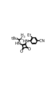 CCc1cc(C#N)ccc1Nc1c(NC(C)C(C)(C)C)c(=O)c1=O